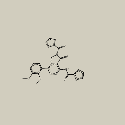 COc1cccc(-c2ccc(NC(=O)c3cccs3)c3c2CN(C(=O)c2cccs2)C3=O)c1OC